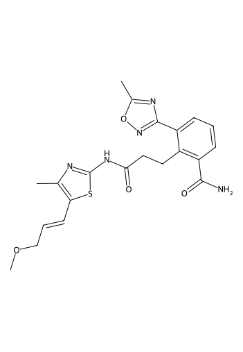 COC/C=C/c1sc(NC(=O)CCc2c(C(N)=O)cccc2-c2noc(C)n2)nc1C